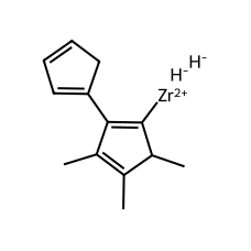 CC1=C(C)C(C)[C]([Zr+2])=C1C1=CC=CC1.[H-].[H-]